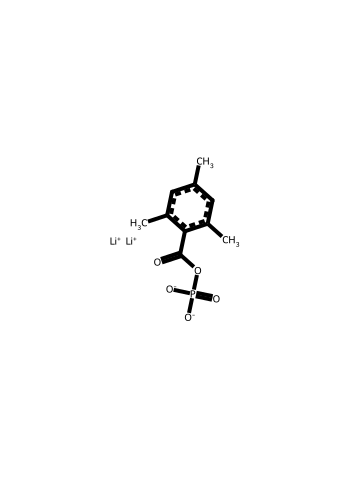 Cc1cc(C)c(C(=O)OP(=O)([O-])[O-])c(C)c1.[Li+].[Li+]